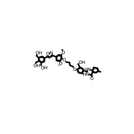 COc1cc(-c2cc(-c3cc(CO)c(CO)c(CO)c3)on2)cc(OC)c1OCCCCOc1ccc(C2NC(=O)c3cc(C)ccc3N2)cc1CO